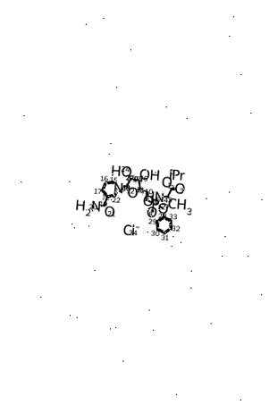 CC(C)OC(=O)C(C)NP(=O)(OC[C@H]1O[C@@H]([n+]2cccc(C(N)=O)c2)[C@H](O)[C@@H]1O)Oc1ccccc1.[Cl-]